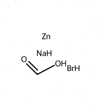 Br.O=CO.[NaH].[Zn]